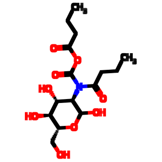 CCCC(=O)OC(=O)N(C(=O)CCC)[C@H]1C(O)O[C@H](CO)[C@@H](O)[C@@H]1O